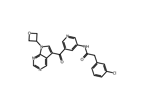 O=C(Cc1cccc(Cl)c1)Nc1cncc(C(=O)c2cn(C3COC3)c3ncncc23)c1